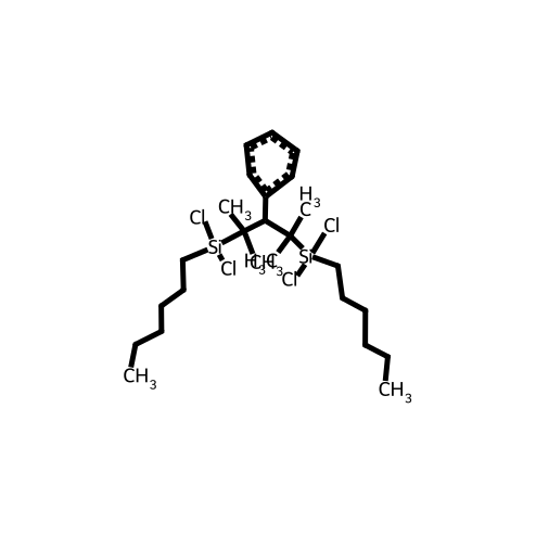 CCCCCC[Si](Cl)(Cl)C(C)(C)C(c1ccccc1)C(C)(C)[Si](Cl)(Cl)CCCCCC